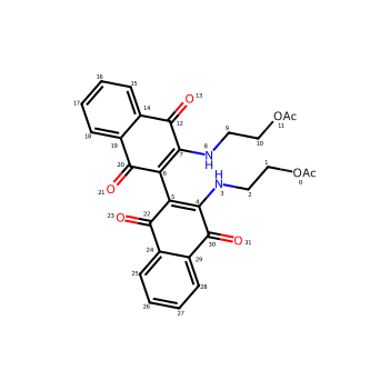 CC(=O)OCCNC1=C(C2=C(NCCOC(C)=O)C(=O)c3ccccc3C2=O)C(=O)c2ccccc2C1=O